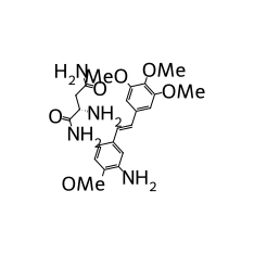 COc1ccc(C=Cc2cc(OC)c(OC)c(OC)c2)cc1N.NC(=O)C[C@H](N)C(N)=O